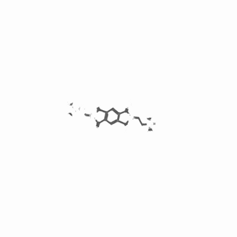 CS(=O)(=O)CCn1c(=O)c2cc3c(=O)n(CO[N+](=O)[O-])c(=O)c3cc2c1=O